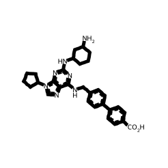 NC1CCCC(Nc2nc(NCc3ccc(-c4ccc(C(=O)O)cc4)cc3)c3ncn(C4CCCC4)c3n2)C1